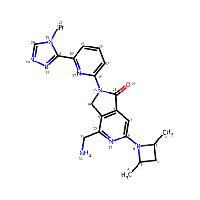 CC1CC(C)N1c1cc2c(c(CN)n1)CN(c1cccc(-c3nncn3C(C)C)n1)C2=O